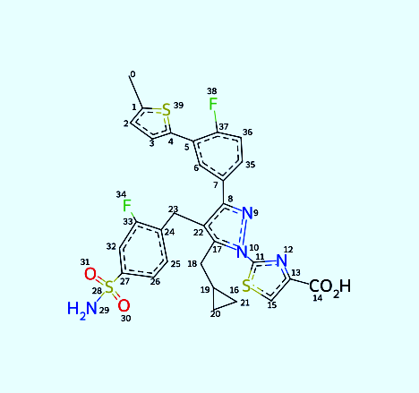 Cc1ccc(-c2cc(-c3nn(-c4nc(C(=O)O)cs4)c(CC4CC4)c3Cc3ccc(S(N)(=O)=O)cc3F)ccc2F)s1